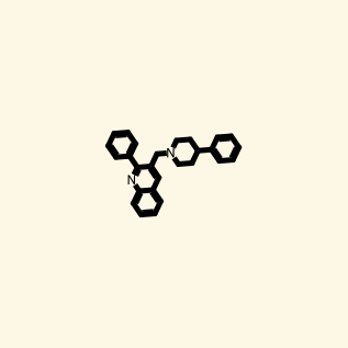 c1ccc(-c2nc3ccccc3cc2CN2CCC(c3ccccc3)CC2)cc1